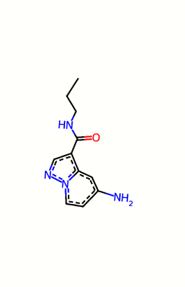 CCCNC(=O)c1cnn2ccc(N)cc12